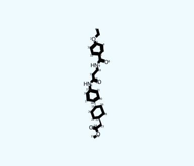 CCOc1ccc(C(=O)NCCC(=O)Nc2ccc([C@H]3CC[C@H](CC(=O)OC)CC3)cc2)cc1